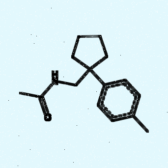 CC(=O)NCC1(c2ccc(C)cc2)CCCC1